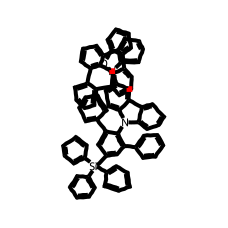 c1ccc(-c2cc([Si](c3ccccc3)(c3ccccc3)c3ccccc3)cc(-c3ccccc3)c2-n2c3ccccc3c3cc(-n4c5ccccc5c5cccc(-c6ccccc6-c6cccc7c6oc6ccccc67)c54)ccc32)cc1